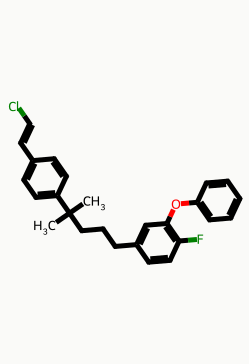 CC(C)(CCCc1ccc(F)c(Oc2ccccc2)c1)c1ccc(C=CCl)cc1